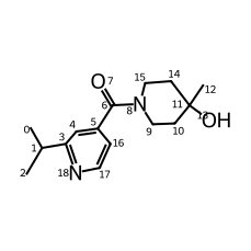 CC(C)c1cc(C(=O)N2CCC(C)(O)CC2)ccn1